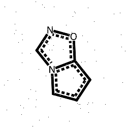 c1cc2oncn2c1